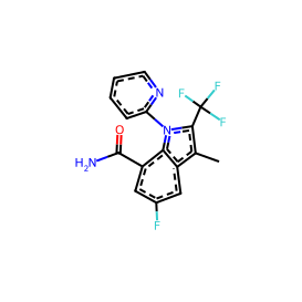 Cc1c(C(F)(F)F)n(-c2ccccn2)c2c(C(N)=O)cc(F)cc12